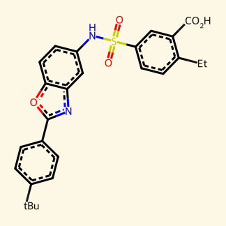 CCc1ccc(S(=O)(=O)Nc2ccc3oc(-c4ccc(C(C)(C)C)cc4)nc3c2)cc1C(=O)O